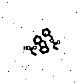 C=CC(=O)O.C=CC(=O)OCc1ccccc1.c1ccc2c(c1)Cc1ccccc1-2